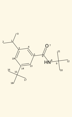 CC(C)c1cc(C(=O)NC(C)(C)C)cc(C(C)(C)C)c1